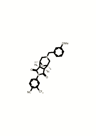 COc1cccc(CN2C[C@@]3(C)O[C@@](C)(C2)[C@H]2C(=O)N(c4ccc(C#N)c(C(F)(F)F)c4)C(=O)[C@H]23)c1